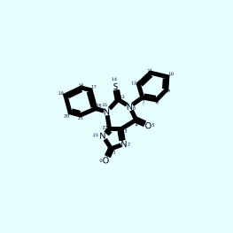 O=C1N=c2c(=O)n(-c3ccccc3)c(=S)n(-c3ccccc3)c2=N1